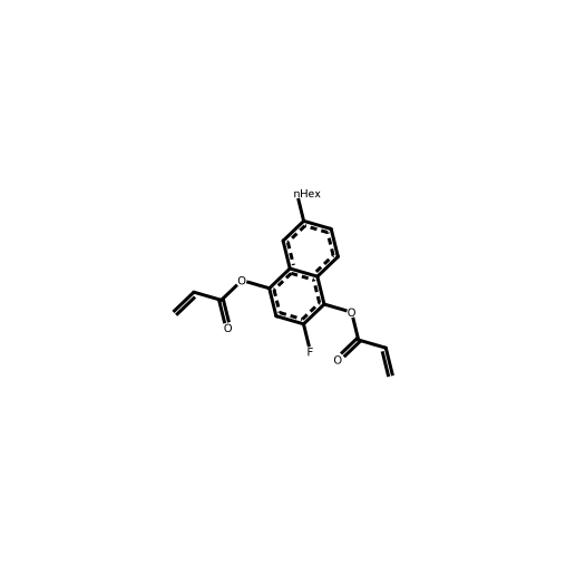 C=CC(=O)Oc1cc(F)c(OC(=O)C=C)c2ccc(CCCCCC)cc12